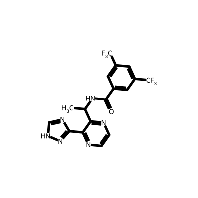 CC(NC(=O)c1cc(C(F)(F)F)cc(C(F)(F)F)c1)c1nccnc1-c1nc[nH]n1